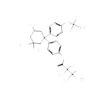 CCC(N)(CC)Oc1ccc(C2(c3ccc(OC(=O)C(CC)(CC)C(CC)(CC)OC)cc3)CC(C)CC(C)(C)C2)cc1